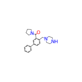 O=C(c1cc(-c2ccccc2)ccc1CN1CCNCC1)N1CCCC1